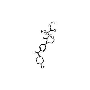 CCN1CCN(C(=O)c2ccc(N3CCO[C@H]([C@@H](O)C(=O)OC(C)(C)C)C3=O)cc2)CC1